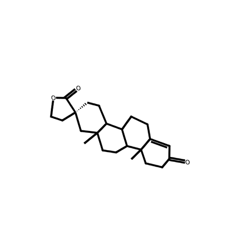 CC12CCC3C(CCC4=CC(=O)CCC43C)C1CC[C@@]1(CCOC1=O)C2